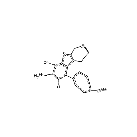 COc1ccc(-c2c(Cl)c(CN)[n+]([O-])c3sc4c(c23)CCSC4)cc1